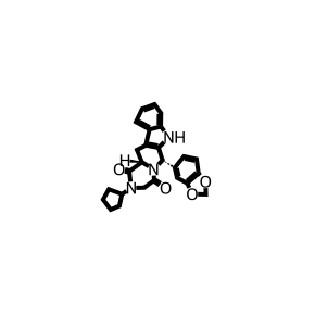 O=C1[C@@H]2Cc3c([nH]c4ccccc34)[C@H](c3ccc4c(c3)OCO4)N2C(=O)CN1C1CCCC1